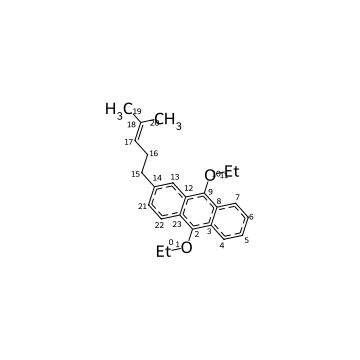 CCOc1c2ccccc2c(OCC)c2cc(CCC=C(C)C)ccc12